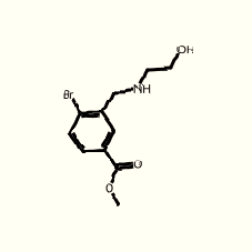 COC(=O)c1ccc(Br)c(CNCCO)c1